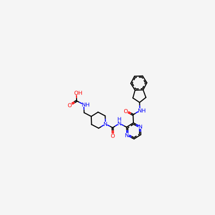 O=C(O)NCC1CCN(C(=O)Nc2nccnc2C(=O)NC2Cc3ccccc3C2)CC1